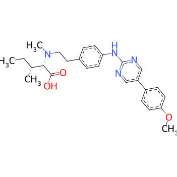 CC[C@@H](C)[C@@H](C(=O)O)N(C)CCc1ccc(Nc2ncc(-c3ccc(OC)cc3)cn2)cc1